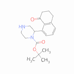 CC(C)(C)OC(=O)N1CCNCC1c1cccc2c1C(=O)CCC2